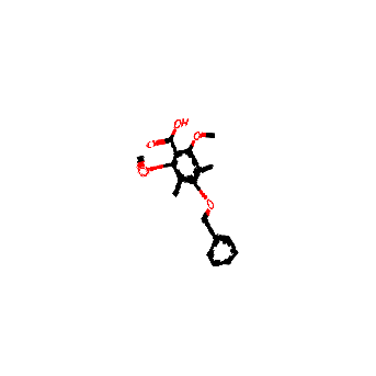 COc1c(C)c(OCc2ccccc2)c(C)c(OC)c1C(=O)O